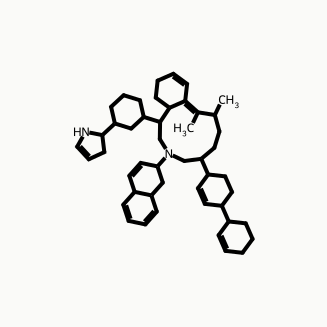 C/C1=C2/C=CCCC2C(C2CCCC(C3CC=CN3)C2)CN(C2C=CC3C=CC=CC3C2)CC(C2C=CC(C3C=CCCC3)CC2)CCC1C